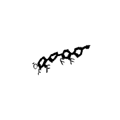 C=CC1CC=C(c2ccc(-c3ccc(-c4ccc(OC)c(F)c4F)cc3)c(F)c2F)CC1